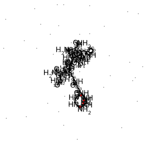 CNC(=O)C(NC(=O)[C@H](C)NC(=O)C(Cc1c[nH]c2ccccc12)NC(=O)C(CCC(N)=O)NC(=O)C(CC(N)=O)NC(=O)CNC(=O)C(CC(C)C)NC(=O)C(CCCCNC(=O)CCCC(=O)NC12CNCCNCC(N)(CNCCNC1)CNCCNC2)NC(=O)C(CCC(N)=O)NC(=O)C1CCC(=O)N1)C(C)C